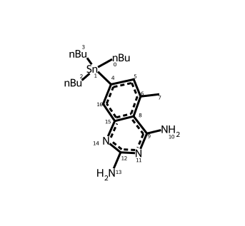 CCC[CH2][Sn]([CH2]CCC)([CH2]CCC)[c]1cc(C)c2c(N)nc(N)nc2c1